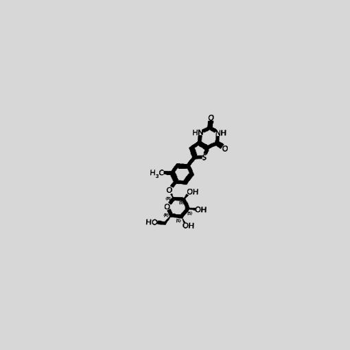 Cc1cc(-c2cc3[nH]c(=O)[nH]c(=O)c3s2)ccc1O[C@H]1O[C@H](CO)[C@@H](O)[C@H](O)[C@@H]1O